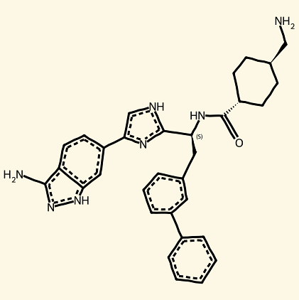 NC[C@H]1CC[C@H](C(=O)N[C@@H](Cc2cccc(-c3ccccc3)c2)c2nc(-c3ccc4c(N)n[nH]c4c3)c[nH]2)CC1